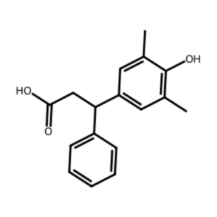 Cc1cc(C(CC(=O)O)c2ccccc2)cc(C)c1O